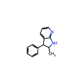 CC1Nc2ncccc2C1c1ccccc1